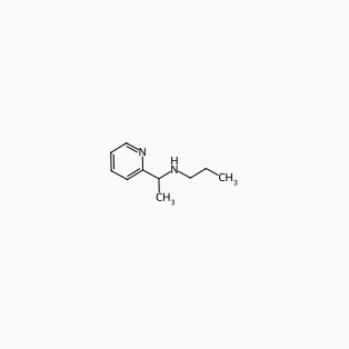 CCCNC(C)c1ccccn1